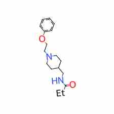 CCC(=O)NCC1CCN(CCOc2ccccc2)CC1